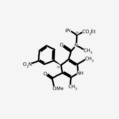 CCOC(=O)[C@H](C(C)C)N(C)C(=O)C1=C(C)NC(C)=C(C(=O)OC)[C@H]1c1cccc([N+](=O)[O-])c1